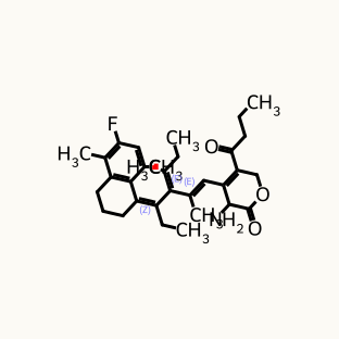 CCCC(=O)C1=C(/C=C(C)/C(C(/CC)=C2/CCCc3c(C)c(F)cc(C)c32)=C(/C)CC)C(N)C(=O)OC1